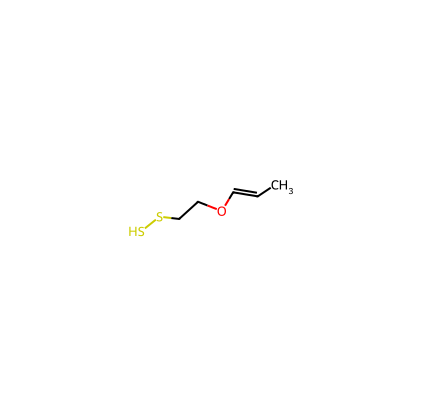 CC=COCCSS